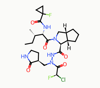 CC[C@H](C)[C@H](NC(=O)C1(F)CC1)C(=O)N1C[C@@H]2CCC[C@@H]2[C@H]1C(=O)NN(C[C@@H]1CCNC1=O)C(=O)[C@H](F)Cl